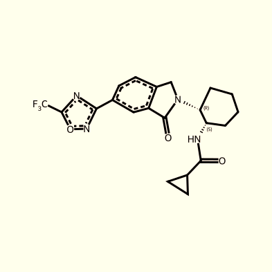 O=C(N[C@H]1CCCC[C@H]1N1Cc2ccc(-c3noc(C(F)(F)F)n3)cc2C1=O)C1CC1